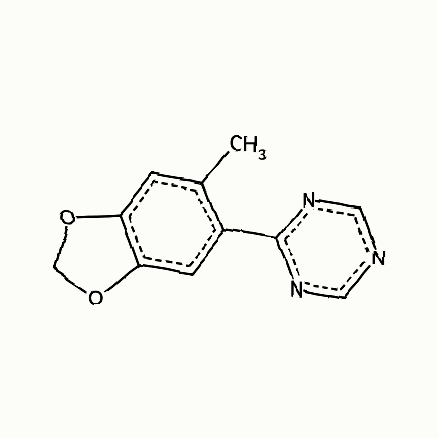 Cc1cc2c(cc1-c1ncncn1)OCO2